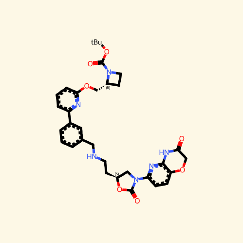 CC(C)(C)OC(=O)N1CC[C@@H]1COc1cccc(-c2cccc(CNCC[C@H]3CN(c4ccc5c(n4)NC(=O)CO5)C(=O)O3)c2)n1